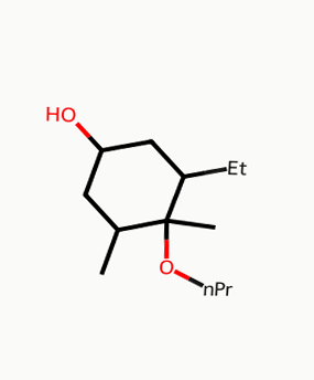 CCCOC1(C)C(C)CC(O)CC1CC